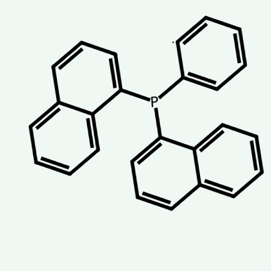 [c]1ccccc1P(c1cccc2ccccc12)c1cccc2ccccc12